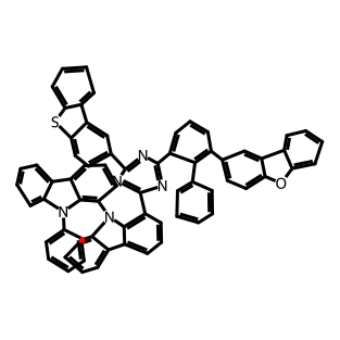 c1ccc(-c2c(-c3ccc4oc5ccccc5c4c3)cccc2-c2nc(-c3ccc4sc5ccccc5c4c3)nc(-c3cccc4c5ccccc5n(-c5cccc6c7ccccc7n(-c7ccccc7)c56)c34)n2)cc1